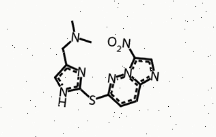 CN(C)Cc1c[nH]c(Sc2ccc3ncc([N+](=O)[O-])n3n2)n1